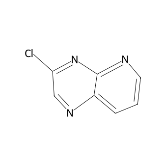 Clc1cnc2cccnc2n1